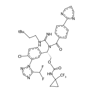 CC(C)(C)CCNC(=N)N(C(=O)c1ccc(-c2ncccn2)cc1)[C@H](COC(=O)NC1(C(F)(F)F)CC1)c1ccc(Cl)c(-n2ncnc2C(F)F)c1